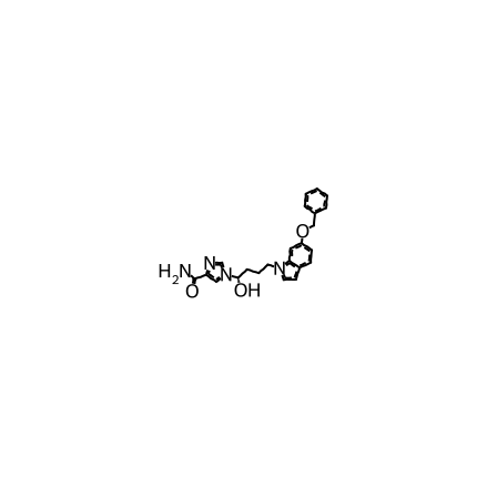 NC(=O)c1cn([C@H](O)CCCn2ccc3ccc(OCc4ccccc4)cc32)cn1